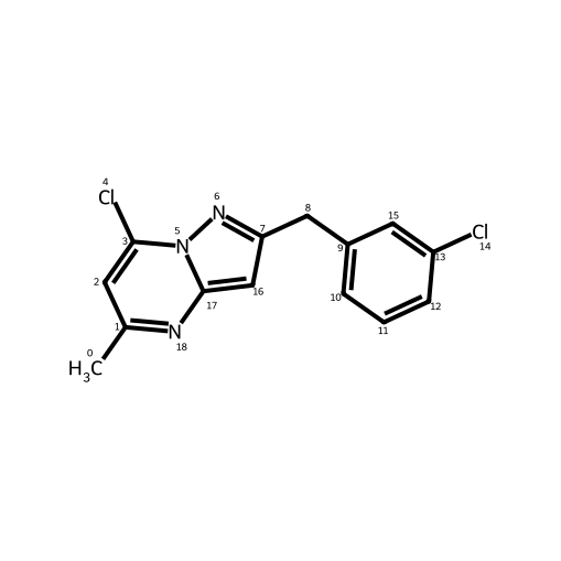 Cc1cc(Cl)n2nc(Cc3cccc(Cl)c3)cc2n1